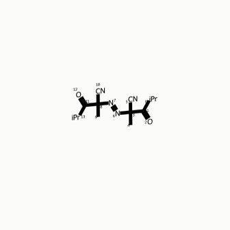 CC(C)C(=O)C(C)(C#N)N=NC(C)(C#N)C(=O)C(C)C